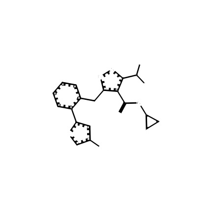 Cc1csc(-c2ccccc2Cc2[nH]nc(C(F)F)c2C(=O)NC2CC2)c1